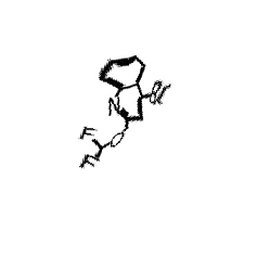 FC(F)Oc1cc(Br)c2ccccc2n1